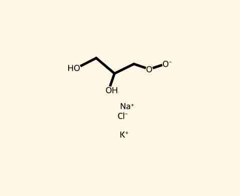 [Cl-].[K+].[Na+].[O-]OCC(O)CO